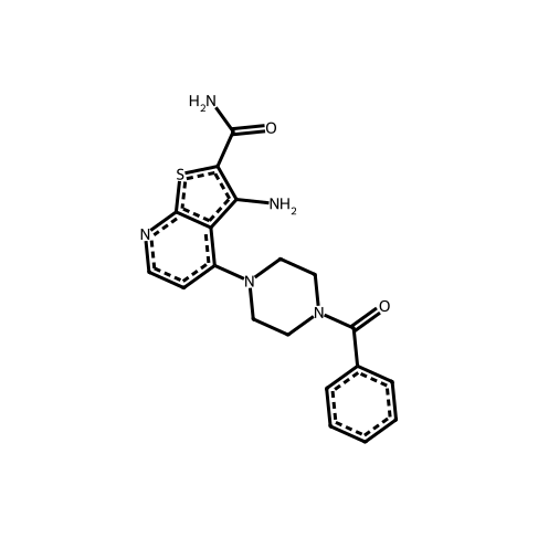 NC(=O)c1sc2nccc(N3CCN(C(=O)c4ccccc4)CC3)c2c1N